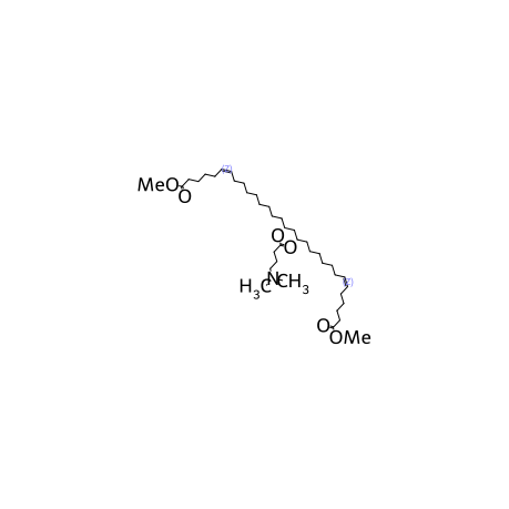 COC(=O)CCCC/C=C\CCCCCCCCC(CCCCCCCC/C=C\CCCCC(=O)OC)OC(=O)CCCN(C)C